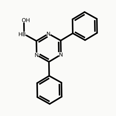 OBc1nc(-c2ccccc2)nc(-c2ccccc2)n1